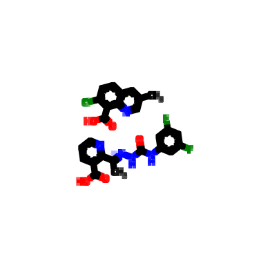 C/C(=N\NC(=O)Nc1cc(F)cc(F)c1)c1ncccc1C(=O)O.Cc1cnc2c(C(=O)O)c(Cl)ccc2c1